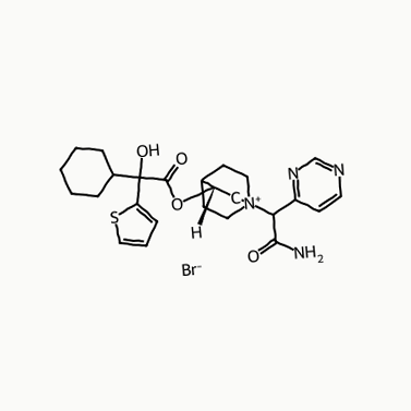 NC(=O)C(c1ccncn1)[N+]12CCC(CC1)[C@@H](OC(=O)C(O)(c1cccs1)C1CCCCC1)C2.[Br-]